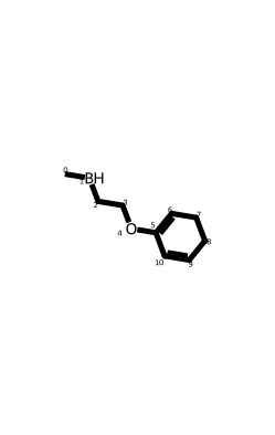 CBCCOC1=CCCC=C1